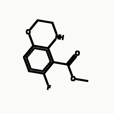 COC(=O)c1c(F)ccc2c1NCCO2